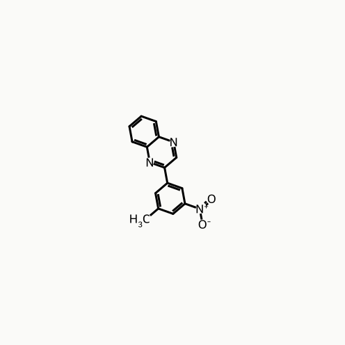 Cc1cc(-c2cnc3ccccc3n2)cc([N+](=O)[O-])c1